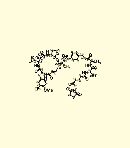 COc1ccc(C[C@H]2NC(=O)/C=C/C[C@@H]([C@H](C)[C@H]3O[C@@H]3c3ccc(CNC(=O)C(C)NC(=O)C(NC(=O)CCCC(=O)ON4C(=O)CCC4=O)C(C)C)cc3)OC(=O)[C@H](CC(C)C)NC(=O)C(C)(C)C(C3CC3)NC2=O)cc1Cl